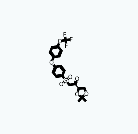 CC1(C)OC[C@H](C(=O)CS(=O)(=O)c2ccc(Oc3ccc(OC(F)(F)F)cc3)cc2)O1